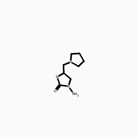 NN1CC(CN2CCCC2)OC1=O